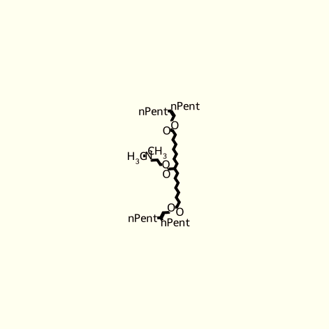 CCCCCC(=CCOC(=O)CCCCCCCC(CCCCCCCC(=O)OCC=C(CCCCC)CCCCC)C(=O)OCCCN(C)C)CCCCC